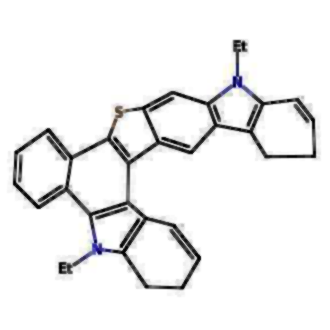 CCn1c2c(c3cc4c(cc31)sc1c3ccccc3c3c(c5c(n3CC)CCC=C5)c41)CCC=C2